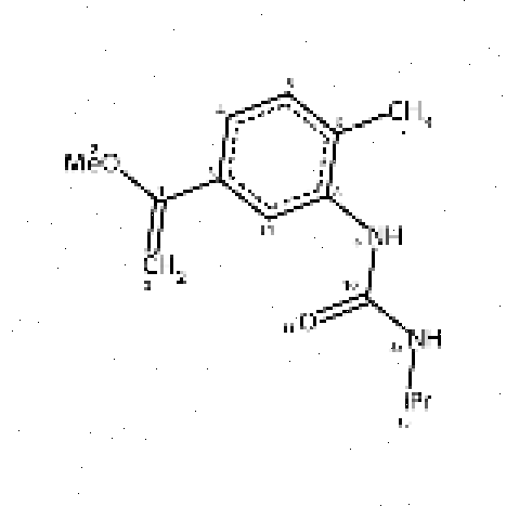 C=C(OC)c1ccc(C)c(NC(=O)NC(C)C)c1